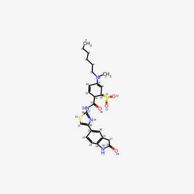 CCCCCCN(C)C1=CC(=S(=O)=O)C(C(=O)Nc2nc(-c3ccc4c(c3)CC(=O)N4)cs2)C=C1